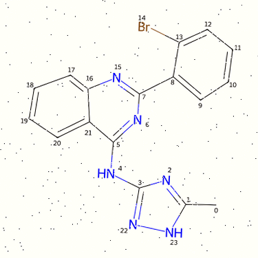 Cc1nc(Nc2nc(-c3ccccc3Br)nc3ccccc23)n[nH]1